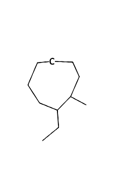 CCC1CCCCCCC1C